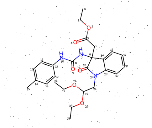 CCOC(=O)CC1(NC(=O)Nc2ccc(C)cc2)C(=O)N(CC(OCC)OCC)c2ccccc21